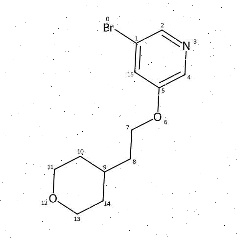 Brc1cncc(OCCC2CCOCC2)c1